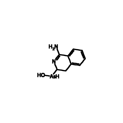 NC1=NC([AsH]O)Cc2ccccc21